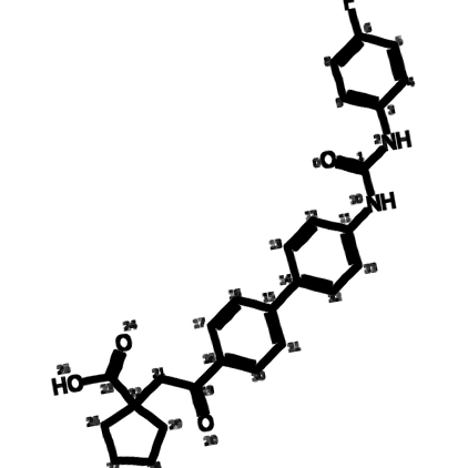 O=C(Nc1ccc(F)cc1)Nc1ccc(-c2ccc(C(=O)CC3(C(=O)O)CCCC3)cc2)cc1